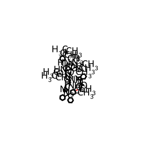 COC(=O)[C@H](CC(C)C)NC(=O)[C@@H](C)NC(=O)[C@H](Cc1ccc(OC(C)(C)C)cc1)NC(=O)[C@H](COC(C)(C)C)NC(=O)[C@H](Cc1cn(C(=O)OC(C)(C)C)c2ccccc12)NC(=O)[C@@H](N)Cc1cn(C(c2ccccc2)(c2ccccc2)c2ccccc2)cn1